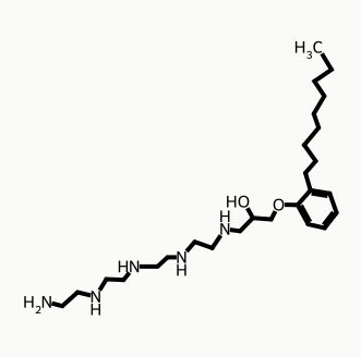 CCCCCCCCCc1ccccc1OCC(O)CNCCNCCNCCNCCN